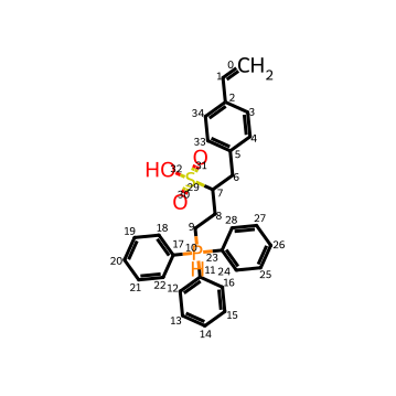 C=Cc1ccc(CC(CC[PH](c2ccccc2)(c2ccccc2)c2ccccc2)S(=O)(=O)O)cc1